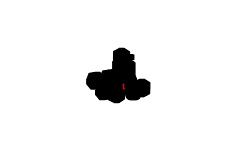 c1ccc2c(c1)ccc1c2c2c3c4ccccc4c4ccccc4c3ccc2n1-c1nc2c(nc1-c1ccc3oc4ccccc4c3c1)sc1ccccc12